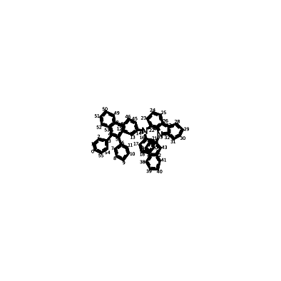 c1ccc(-c2c(-c3ccccc3)c3cc(N(c4ccccc4)c4cccc5c6ccccc6n(-c6ccc7ccccc7c6)c45)ccc3c3ccccc23)cc1